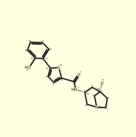 O=C(N[C@@H]1C[C@H]2CCN(C2)C1)c1ccc(-c2ccccc2O)s1